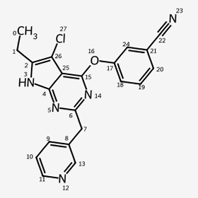 CCc1[nH]c2nc(Cc3cccnc3)nc(Oc3cccc(C#N)c3)c2c1Cl